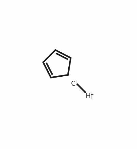 [CH]1C=CC=C1.[Cl][Hf]